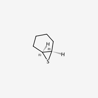 C1CC[C@H]2S[C@H]2C1